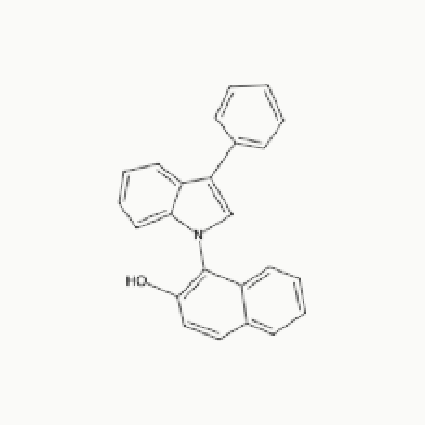 Oc1ccc2ccccc2c1-n1cc(-c2ccccc2)c2ccccc21